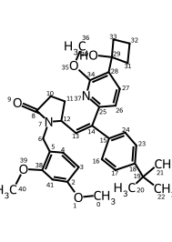 COc1ccc(CN2C(=O)CCC2C=C(c2ccc(C(C)(C)C)cc2)c2ccc(C3(O)CCC3)c(OC)n2)c(OC)c1